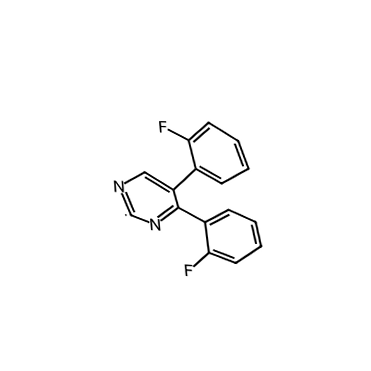 Fc1ccccc1-c1cn[c]nc1-c1ccccc1F